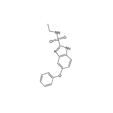 CCNS(=O)(=O)c1nc2cc(Oc3ccccc3)ccc2[nH]1